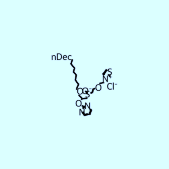 CCCCCCCCCCCCCCCCCCOCC(C[S+]([O-])CCOCC[n+]1ccsc1)Oc1ncccn1.[Cl-]